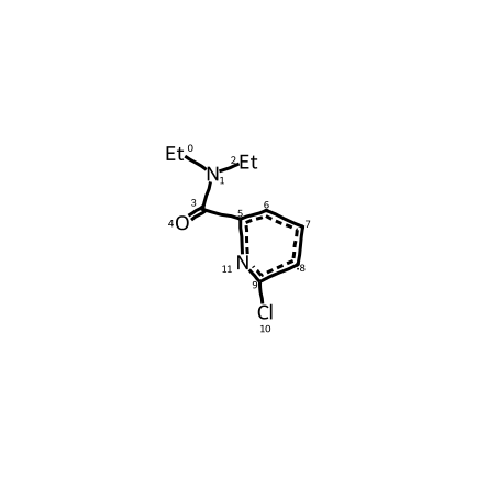 CCN(CC)C(=O)c1cc[c]c(Cl)n1